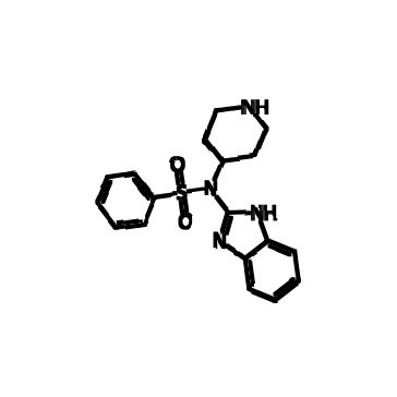 O=S(=O)(c1ccccc1)N(c1nc2ccccc2[nH]1)C1CCNCC1